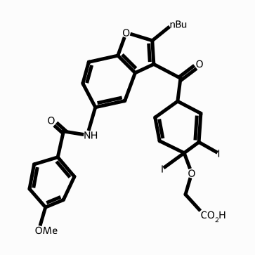 CCCCc1oc2ccc(NC(=O)c3ccc(OC)cc3)cc2c1C(=O)C1C=CC(I)(OCC(=O)O)C(I)=C1